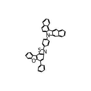 c1ccc(-c2cc3nc(-c4ccc(-n5c6cc7ccccc7cc6c6c7ccccc7ccc65)cc4)sc3c3c2oc2ccccc23)cc1